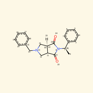 C[C@H](c1ccccc1)N1C(=O)C2CN(Cc3ccccc3)C[C@H]2C1=O